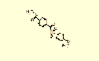 COC(=O)c1ccc(C(=O)NS(=O)(=O)c2ccc(OC(F)(F)F)cc2)cn1